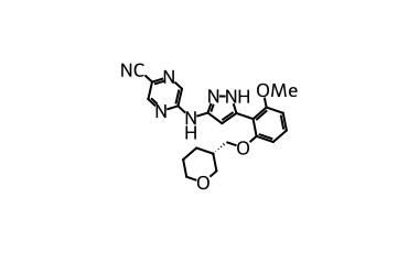 COc1cccc(OC[C@H]2CCCOC2)c1-c1cc(Nc2cnc(C#N)cn2)n[nH]1